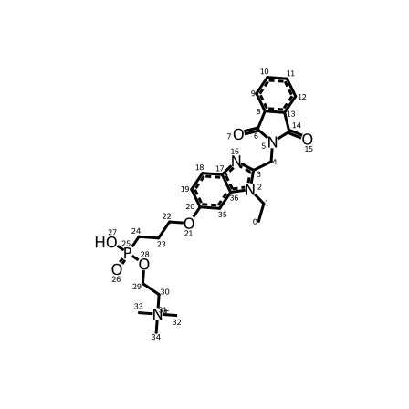 CCn1c(CN2C(=O)c3ccccc3C2=O)nc2ccc(OCCCP(=O)(O)OCC[N+](C)(C)C)cc21